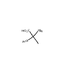 CCCCC(C)(OC(C)=O)C(=O)O